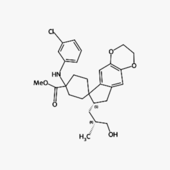 COC(=O)C1(Nc2cccc(Cl)c2)CCC2(CC1)c1cc3c(cc1C[C@@H]2C[C@@H](C)CO)OCCO3